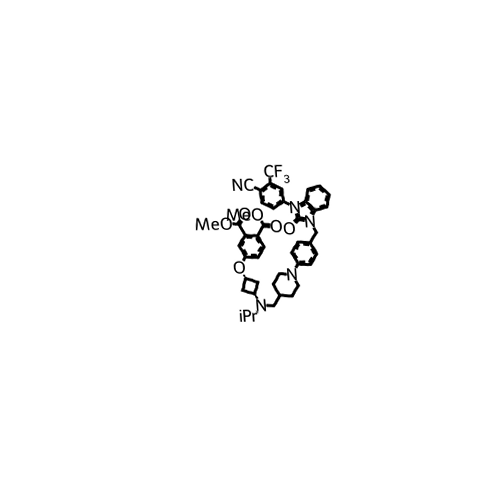 COC(=O)c1ccc(O[C@H]2C[C@H](N(CC3CCN(c4ccc(Cn5c(=O)n(-c6ccc(C#N)c(C(F)(F)F)c6)c6ccccc65)cc4)CC3)C(C)C)C2)cc1C(=O)OC